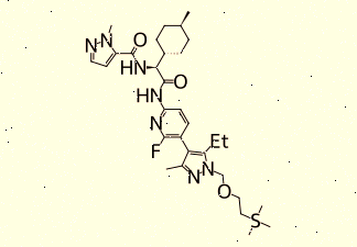 CCc1c(-c2ccc(NC(=O)[C@@H](NC(=O)c3ccnn3C)[C@H]3CC[C@H](C)CC3)nc2F)c(C)nn1COCCS(C)(C)C